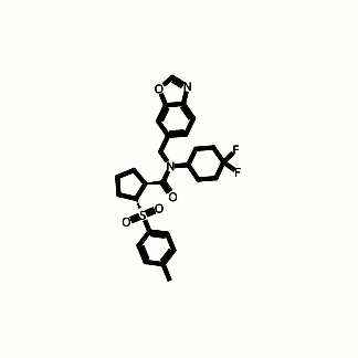 Cc1ccc(S(=O)(=O)[C@@H]2CCC[C@H]2C(=O)N(Cc2ccc3ncoc3c2)C2CCC(F)(F)CC2)cc1